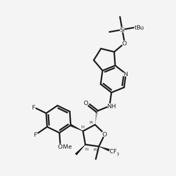 COc1c([C@H]2[C@H](C(=O)Nc3cnc4c(c3)CCC4O[Si](C)(C)C(C)(C)C)O[C@@](C)(C(F)(F)F)[C@H]2C)ccc(F)c1F